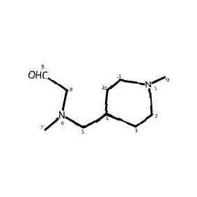 CN1CCC(CN(C)CC=O)CC1